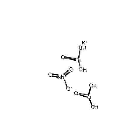 [K+].[O]=[Nb](=[O])[O-].[O]=[Ti]([OH])[OH].[O]=[Zr]([OH])[OH]